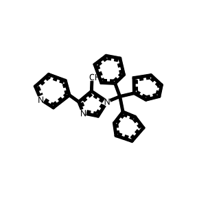 Cc1c(-c2cccnc2)ncn1C(c1ccccc1)(c1ccccc1)c1ccccc1